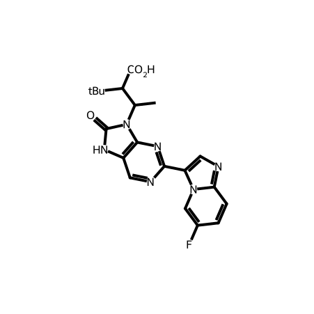 CC(C(C(=O)O)C(C)(C)C)n1c(=O)[nH]c2cnc(-c3cnc4ccc(F)cn34)nc21